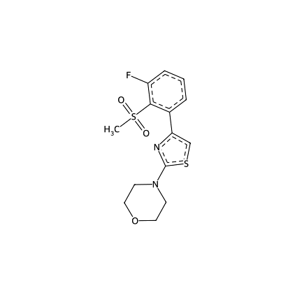 CS(=O)(=O)c1c(F)cccc1-c1csc(N2CCOCC2)n1